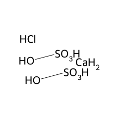 Cl.O=S(=O)(O)O.O=S(=O)(O)O.[CaH2]